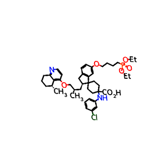 CCOP(=O)(CCCCOc1ccc2c(c1)C1(CCC(Nc3cccc(Cl)c3)(C(=O)O)CC1)[C@@H](C[C@@H](C)COc1ccnc3c1[C@H](C)CCC3)C2)OCC